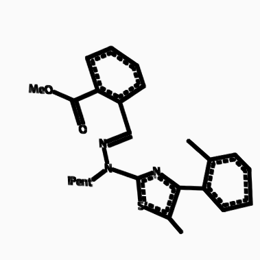 CCCC(C)N(/N=C/c1ccccc1C(=O)OC)c1nc(-c2ccccc2C)c(C)s1